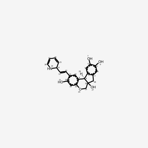 Oc1cc2c(cc1O)[C@@H]1c3cc(/C=C/C4C=CC=CN4)c(O)cc3OCC1(O)C2